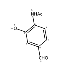 CC(=O)Nc1ccc(C=O)cc1O